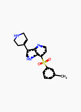 Cc1cccc(S(=O)(=O)c2ccnc3c(C4=CCNCC4)c[nH]c23)c1